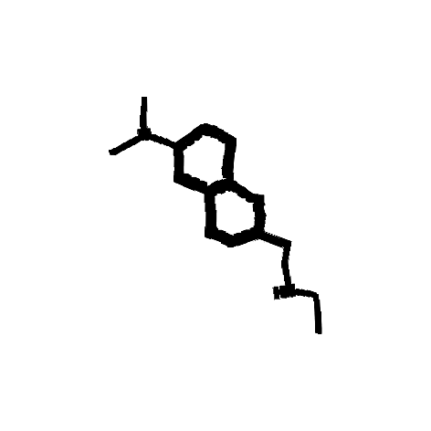 CCNCc1ccc2cc(N(C)C)ccc2n1